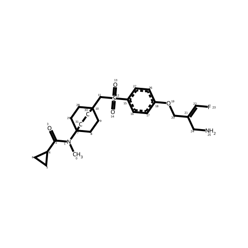 CN(C(=O)C1CC1)C12CCC(CS(=O)(=O)c3ccc(OCC(=CF)CN)cc3)(CC1)CC2